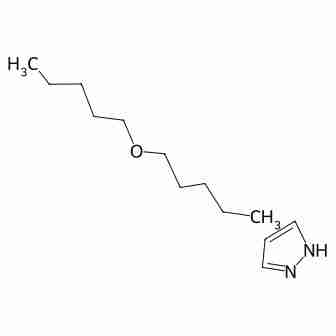 CCCCCOCCCCC.c1cn[nH]c1